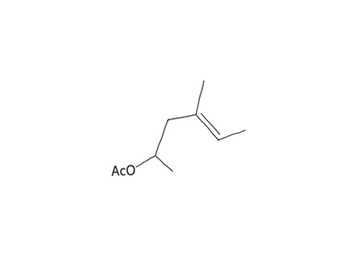 CC=C(C)CC(C)OC(C)=O